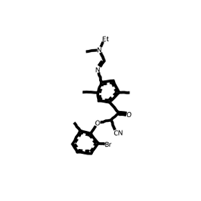 CCN(C)C=Nc1cc(C)c(C(=O)C(C#N)Oc2c(C)cccc2Br)cc1C